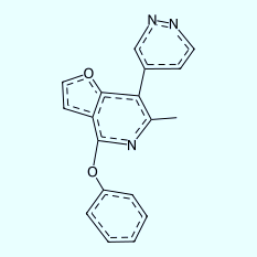 Cc1nc(Oc2ccccc2)c2ccoc2c1-c1ccnnc1